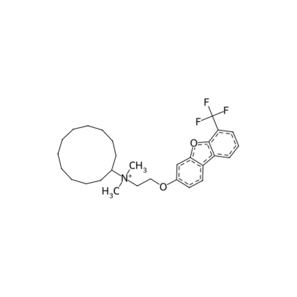 C[N+](C)(CCOc1ccc2c(c1)oc1c(C(F)(F)F)cccc12)C1CCCCCCCCCCC1